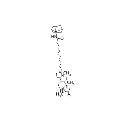 CN1C(=O)CC[C@]2(C)C3CC[C@@]4(C)C(CC[C@@H]4CCCCCCCCCCC(=O)NC45CC6CC(CC(C6)C4)C5)C3CC[C@@H]12